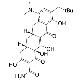 CN(C)c1cc(CC(C)(C)C)c(O)c2c1C[C@H]1C[C@H]3CC(O)=C(C(N)=O)C(=O)[C@@]3(O)C(O)=C1C2=O